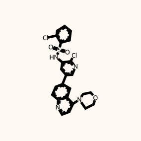 O=S(=O)(Nc1cc(-c2ccc3nccc(N4CCOCC4)c3c2)cnc1Cl)c1ccccc1Cl